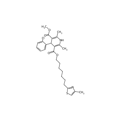 COC(=O)C1=C(C)NC(C)=C(C(=O)OCCCCCCCc2nc(C)cs2)C1c1ccccc1Cl